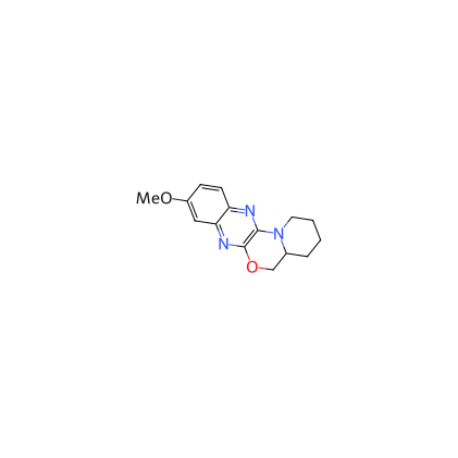 COc1ccc2nc3c(nc2c1)OCC1CCCCN31